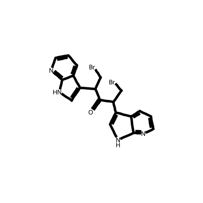 O=C(C(CBr)c1c[nH]c2ncccc12)C(CBr)c1c[nH]c2ncccc12